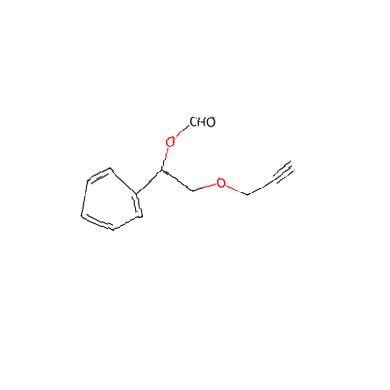 C#CCOCC(OC=O)c1ccccc1